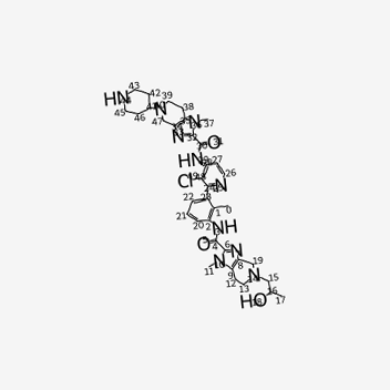 Cc1c(NC(=O)c2nc3c(n2C)CCN(CC(C)O)C3)cccc1-c1nccc(NC(=O)c2nc3c(n2C)CCN(C2CCNCC2)C3)c1Cl